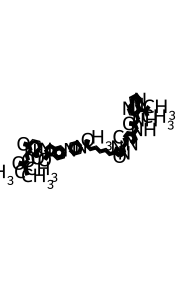 Cc1cc(NC(=O)Nc2cnc3ccnn3c2C(C)C)cnc1-c1noc(CCCCCC(=O)N2CCN(c3ccc4c(c3)CN(C3CCC(=O)N(COC(=O)C(C)(C)C)C3=O)C4=O)CC2)n1